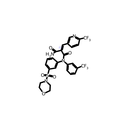 NC(=O)/C(=C/c1ccc(C(F)(F)F)nc1)C(=O)N(c1cccc(C(F)(F)F)c1)c1cccc(S(=O)(=O)N2CCOCC2)c1